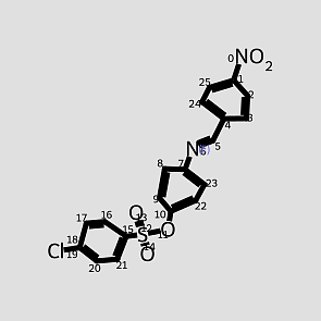 O=[N+]([O-])c1ccc(/C=N/c2ccc(OS(=O)(=O)c3ccc(Cl)cc3)cc2)cc1